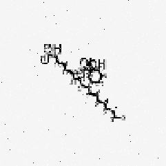 CCCCCCCCCCCCCCCCCC(=O)O.O=C(O)C1(O)CCCCC1